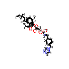 C=CC(C)(C)C[C@H](C)[C@]12CCC(=O)[C@H]1[C@](C)([C@@H](C)OC(=O)COC(=O)/C=C/c1ccc(Cn3ccnc3)cc1)[C@H](C)CC2